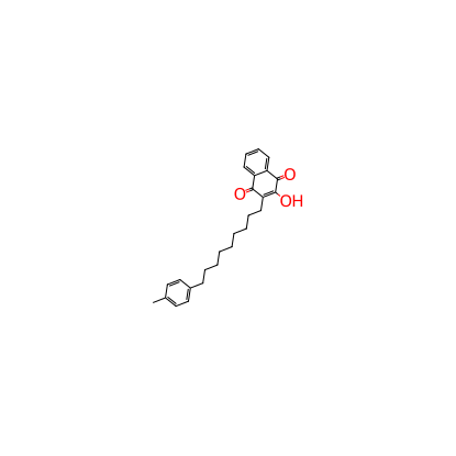 Cc1ccc(CCCCCCCCCC2=C(O)C(=O)c3ccccc3C2=O)cc1